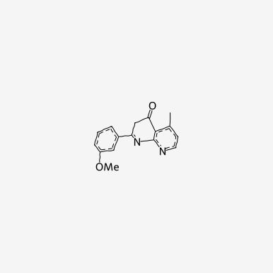 COc1cccc(C2=Nc3nccc(C)c3C(=O)C2)c1